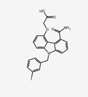 NC(=O)c1cccc2c1c1c(OCC(=O)O)cccc1n2Cc1cccc(I)c1